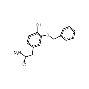 CC[C@H](Cc1ccc(O)c(OCc2ccccc2)c1)[N+](=O)[O-]